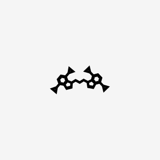 C1=CC(CCCC2C=Cc3c(C4CC4)ccc(C4CC4)c32)c2c(C3CC3)ccc(C3CC3)c21